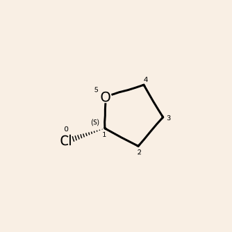 Cl[C@H]1CCCO1